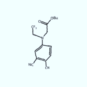 CC(C)COC(=O)CN(CC(F)(F)F)c1ccc(C#N)c(C#N)c1